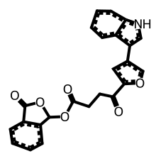 O=C(CCC(=O)c1cc(-c2c[nH]c3ccccc23)co1)OC1OC(=O)c2ccccc21